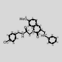 COc1ccc2cc(CNc3ccccc3)c(=O)n(CC(=O)NCc3ccc(Cl)cc3)c2c1